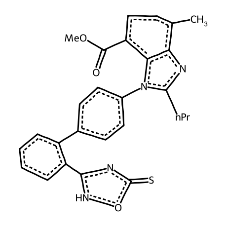 CCCc1nc2c(C)ccc(C(=O)OC)c2n1-c1ccc(-c2ccccc2-c2nc(=S)o[nH]2)cc1